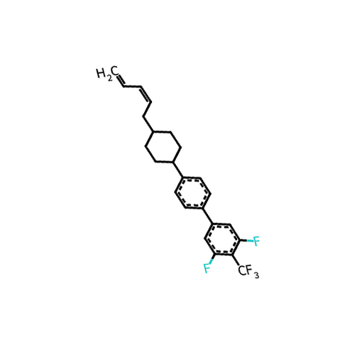 C=C/C=C\CC1CCC(c2ccc(-c3cc(F)c(C(F)(F)F)c(F)c3)cc2)CC1